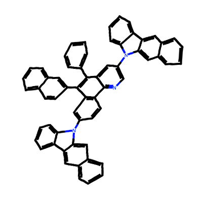 c1ccc(-c2c(-c3ccc4ccccc4c3)c3cc(-n4c5ccccc5c5cc6ccccc6cc54)ccc3c3ncc(-n4c5ccccc5c5cc6ccccc6cc54)cc23)cc1